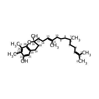 CC(C)=CCC[C@@H](C)CCC/C(C)=C/CC[C@]1(C)CCc2cc(O)c(C)c(C)c2O1